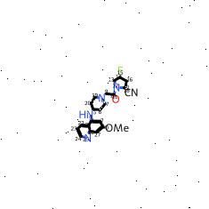 COc1cc(NC2CCN(CC(=O)N3C[C@@H](F)CC3C#N)CC2)c2cccnc2c1